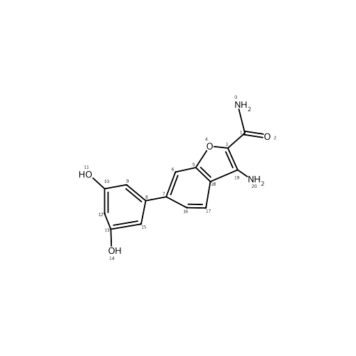 NC(=O)c1oc2cc(-c3cc(O)cc(O)c3)ccc2c1N